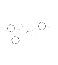 CC(NC(=O)C(C)(C)Oc1cc(F)cc(Cl)c1)C(Cc1ccc(Cl)cc1)c1cccnc1